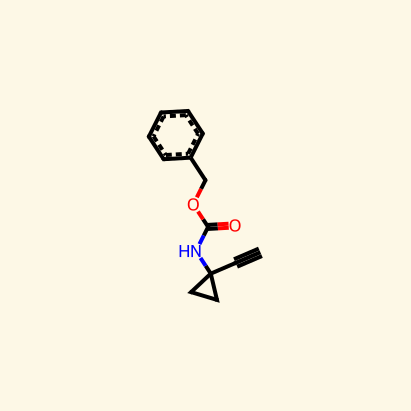 C#CC1(NC(=O)OCc2ccccc2)CC1